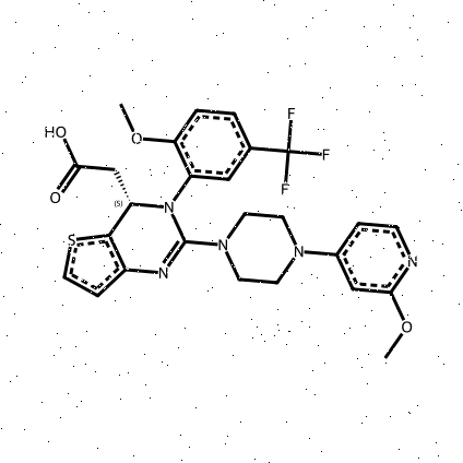 COc1cc(N2CCN(C3=Nc4ccsc4[C@H](CC(=O)O)N3c3cc(C(F)(F)F)ccc3OC)CC2)ccn1